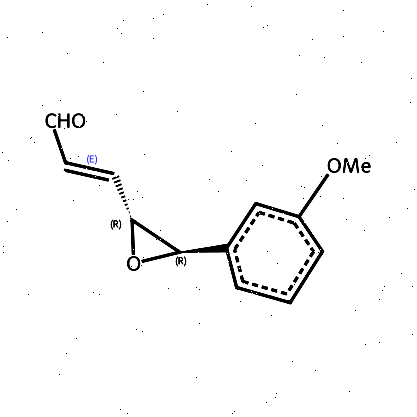 COc1cccc([C@H]2O[C@@H]2/C=C/C=O)c1